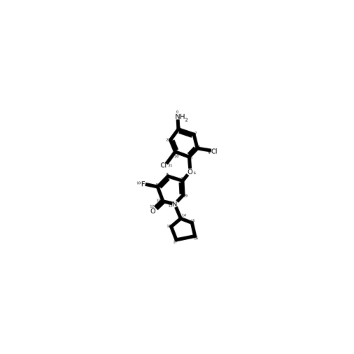 Nc1cc(Cl)c(Oc2cc(F)c(=O)n(C3CCCC3)c2)c(Cl)c1